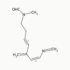 C=N/C=C\C(=C)/C=C/CCN(C)C=O